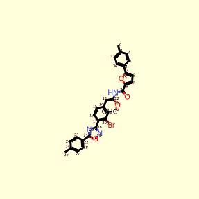 Cc1ccc(-c2ccc(C(=O)NC(Cc3ccc(-c4noc(-c5ccc(C)cc5)n4)c(Br)c3)OC=O)o2)cc1